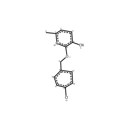 Cc1ccc(C#N)c(OCc2ccc(Cl)cc2)n1